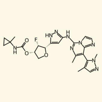 Cc1cnn(C)c1-c1c(C)nc(Nc2cc([C@@H]3OC[C@H](OC(=O)NC4(C)CC4)[C@@H]3F)[nH]n2)n2ccnc12